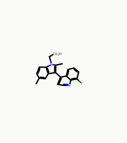 CCOC(=O)Cn1c(C)c(-c2ccnc3c(F)cccc23)c2cc(C)ccc21